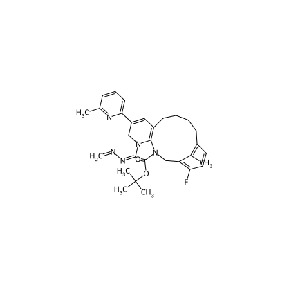 C=N/N=C\N1CC(c2cccc(C)n2)=CC2=C1N(C(=O)OC(C)(C)C)Cc1c(F)ccc(c1C)CCCC2